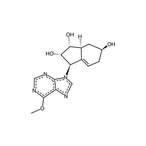 COc1ncnc2c1ncn2[C@@H]1C2=CC[C@H](O)C[C@@H]2[C@@H](O)[C@H]1O